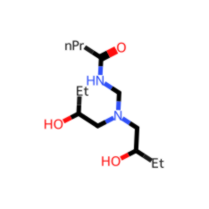 CCCC(=O)NCN(CC(O)CC)CC(O)CC